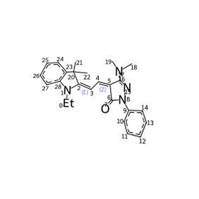 CCN1/C(=C/C=C2\C(=O)N(c3ccccc3)N=C2N(C)C)C(C)(C)c2ccccc21